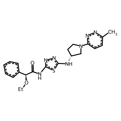 CCO[C@H](C(=O)Nc1nnc(N[C@@H]2CCN(c3ccc(C)nn3)C2)s1)c1ccccc1